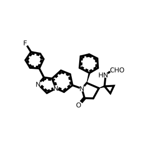 O=CNC1([C@H]2CC(=O)N(c3ccc4c(-c5ccc(F)cc5)ncn4c3)[C@H]2c2ccccc2)CC1